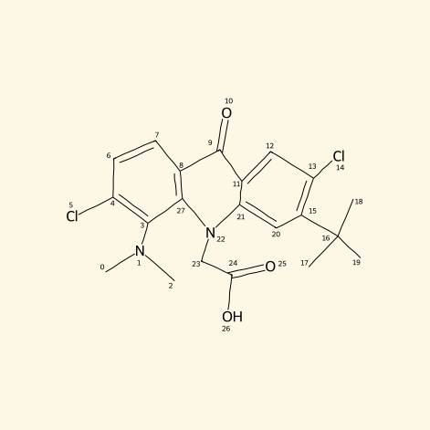 CN(C)c1c(Cl)ccc2c(=O)c3cc(Cl)c(C(C)(C)C)cc3n(CC(=O)O)c12